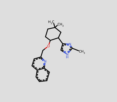 Cc1nc(C2CC(C)(C)CCC2OCc2ccc3ccccc3n2)c[nH]1